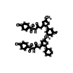 Cc1cc(CC(=O)NS(=O)(=O)c2ccc(Cl)cc2)n(-c2cccc(F)c2)n1.Cc1cc(CC(=O)NS(=O)(=O)c2ccc(Cl)cc2)n(-c2cccnc2)n1